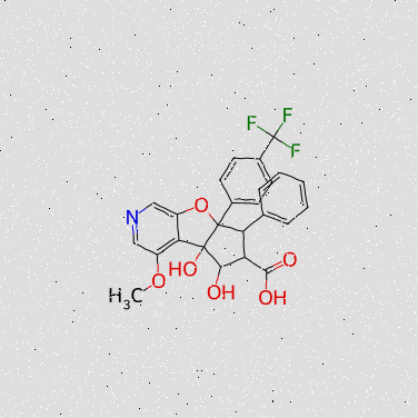 COc1cncc2c1C1(O)C(O)C(C(=O)O)C(c3ccccc3)C1(c1ccc(C(F)(F)F)cc1)O2